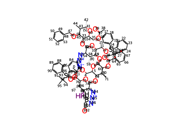 CC(=O)OCC1O[C@@H](O[C@@H]2C(CO[Si](c3ccccc3)(c3ccccc3)C(C)(C)C)O[C@@H](O[C@H]3C(COC(C)=O)O[C@@H](C)C(C)[C@@H]3OCc3ccccc3)C(N=[N+]=[N-])[C@H]2C)C(OC(=O)c2ccccc2)[C@@H](C)[C@@H]1O[C@@H]1OC(CO[Si](c2ccccc2)(c2ccccc2)C(C)(C)C)[C@@H](C)[C@H](PBB=O)C1N=[N+]=[N-]